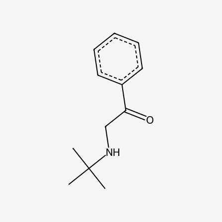 CC(C)(C)NCC(=O)c1ccccc1